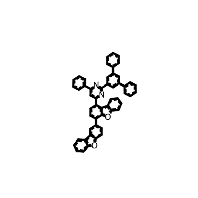 c1ccc(-c2cc(-c3ccccc3)cc(-c3nc(-c4ccccc4)cc(-c4ccc(-c5ccc6oc7ccccc7c6c5)c5oc6ccccc6c45)n3)c2)cc1